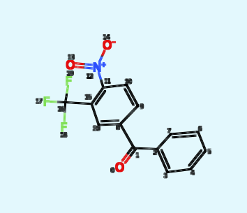 O=C(c1ccccc1)c1ccc([N+](=O)[O-])c(C(F)(F)F)c1